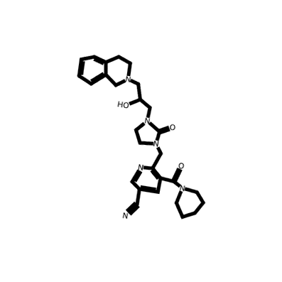 N#Cc1cnc(CN2CCN(CC(O)CN3CCc4ccccc4C3)C2=O)c(C(=O)N2CCCCC2)c1